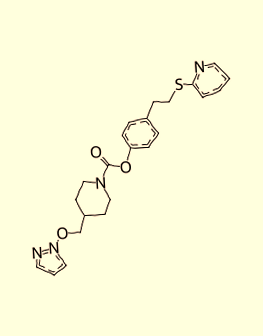 O=C(Oc1ccc(CCSc2ccccn2)cc1)N1CCC(COn2cccn2)CC1